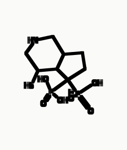 O=P(O)(O)C1(P(=O)(O)O)CCC2CNCC(S)C21